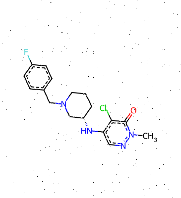 Cn1ncc(N[C@H]2CCCN(Cc3ccc(F)cc3)C2)c(Cl)c1=O